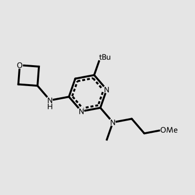 COCCN(C)c1nc(NC2COC2)cc(C(C)(C)C)n1